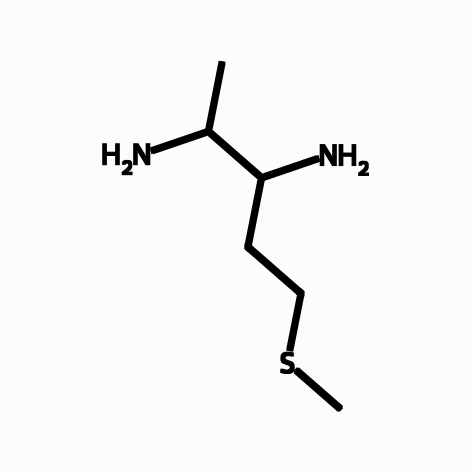 CSCCC(N)C(C)N